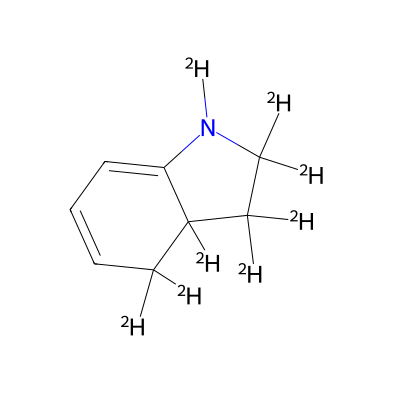 [2H]N1C2=CC=CC([2H])([2H])C2([2H])C([2H])([2H])C1([2H])[2H]